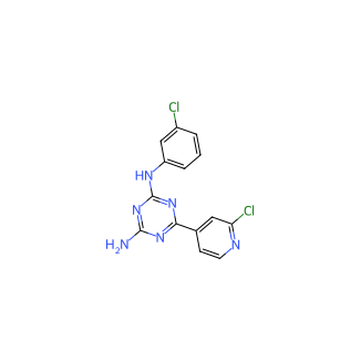 Nc1nc(Nc2cccc(Cl)c2)nc(-c2ccnc(Cl)c2)n1